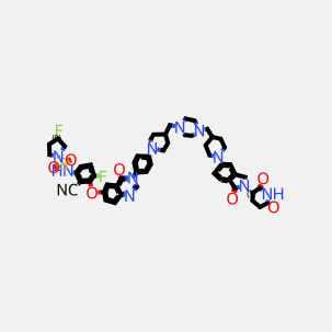 N#Cc1c(NS(=O)(=O)N2CC[C@@H](F)C2)ccc(F)c1Oc1ccc2ncn(-c3ccc(N4CCC(CN5CCN(CC6CCN(c7ccc8c(c7)CN([C@H]7CCC(=O)NC7=O)C8=O)CC6)CC5)CC4)cc3)c(=O)c2c1